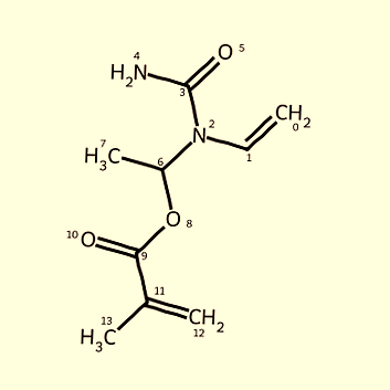 C=CN(C(N)=O)C(C)OC(=O)C(=C)C